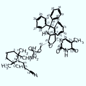 CC1(C)CCCC(C)(C)N1CCC#N.Cc1cn([C@H]2C[C@H](NC(c3ccccc3)(c3ccccc3)c3ccccc3)[C@@H](COP(N)O)O2)c(=O)[nH]c1=O